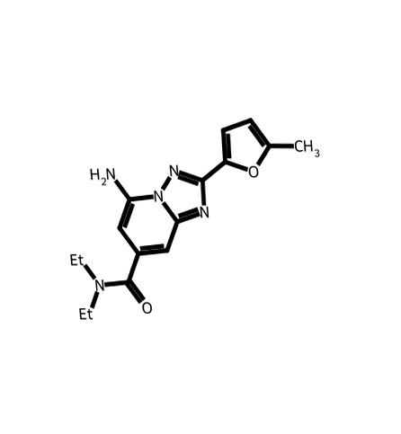 CCN(CC)C(=O)c1cc(N)n2nc(-c3ccc(C)o3)nc2c1